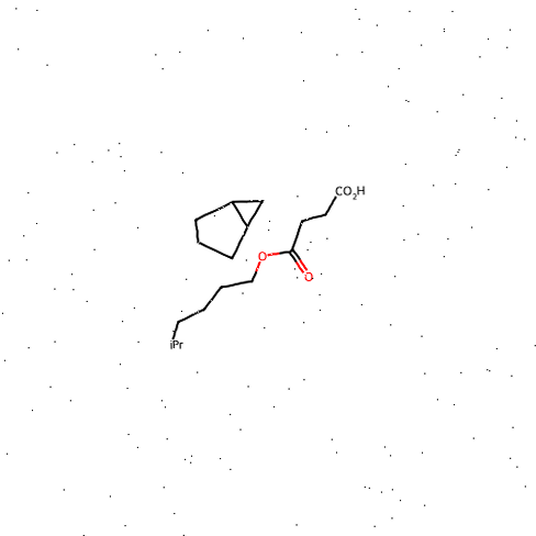 C1CC2CC2C1.CC(C)CCCCOC(=O)CCC(=O)O